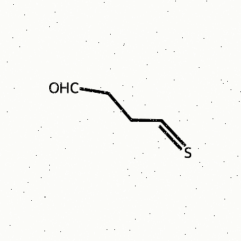 O=CCCC=S